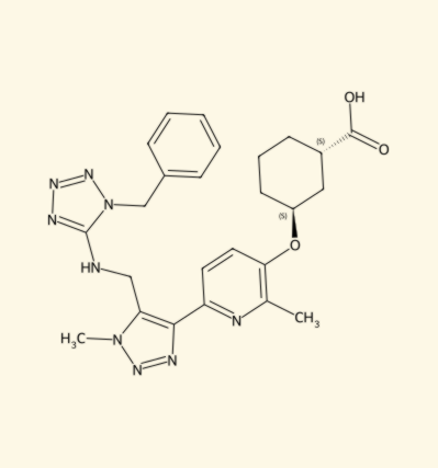 Cc1nc(-c2nnn(C)c2CNc2nnnn2Cc2ccccc2)ccc1O[C@H]1CCC[C@H](C(=O)O)C1